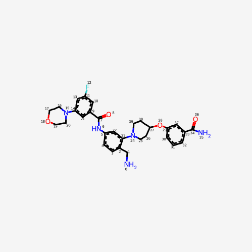 NCc1ccc(NC(=O)c2cc(F)cc(N3CCOCC3)c2)cc1N1CCC(Oc2cccc(C(N)=O)c2)CC1